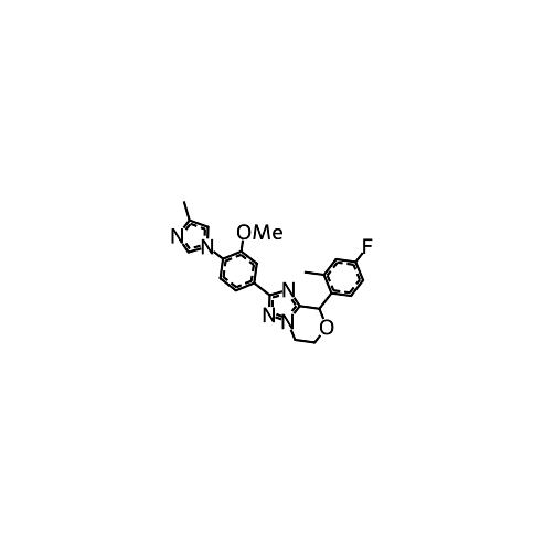 COc1cc(-c2nc3n(n2)CCOC3c2ccc(F)cc2C)ccc1-n1cnc(C)c1